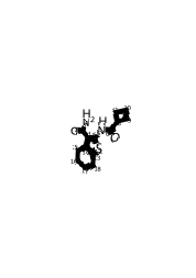 NC(=O)c1c(NC(=O)C2CCC2)sc2c1CCCC2